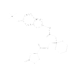 O=C(CC1(CNC(=O)C2CCC(=O)N2)CCCCC1)Nc1nc2ccc(OC(F)(F)F)cc2s1